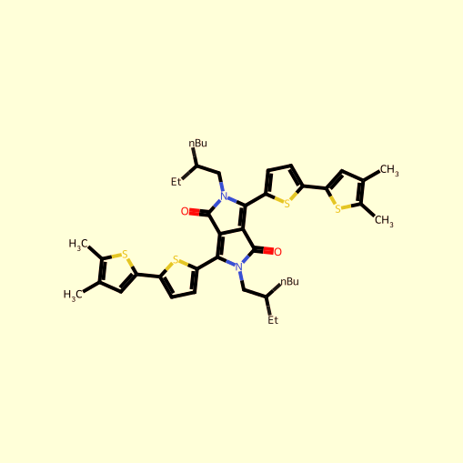 CCCCC(CC)CN1C(=O)C2=C(c3ccc(-c4cc(C)c(C)s4)s3)N(CC(CC)CCCC)C(=O)C2=C1c1ccc(-c2cc(C)c(C)s2)s1